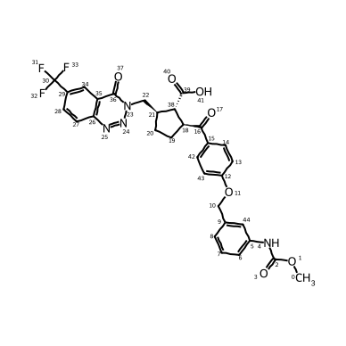 COC(=O)Nc1cccc(COc2ccc(C(=O)[C@H]3CC[C@@H](Cn4nnc5ccc(C(F)(F)F)cc5c4=O)[C@@H]3C(=O)O)cc2)c1